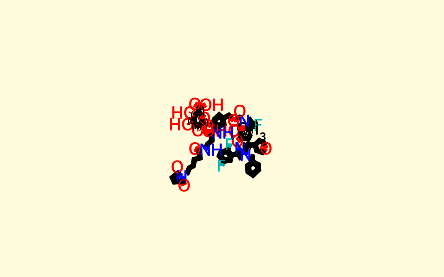 C[C@H](O)C(=O)C(C[C@@H]1CN(C(=O)OCc2ccc(O[C@@H]3O[C@H](C(=O)O)[C@@H](O)[C@H](O)[C@H]3O)c(NC(=O)CCNC(=O)CCCCCN3C(=O)C=CC3=O)c2)C[C@@H]1F)[C@@H](c1nc(-c2cc(F)ccc2F)cn1Cc1ccccc1)C1CCOCC1